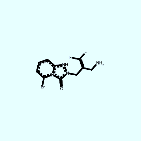 NCC(Cn1[nH]c2cccc(Br)[n+]2c1=O)=C(F)F